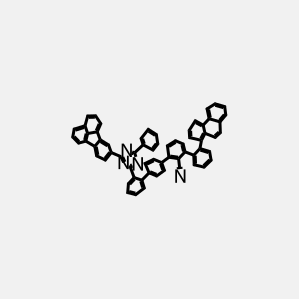 N#Cc1c(-c2ccc(-c3ccccc3-c3nc(-c4ccccc4)nc(-c4ccc5c(c4)-c4cccc6cccc-5c46)n3)cc2)cccc1-c1ccccc1-c1cccc2c1ccc1ccccc12